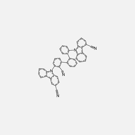 N#Cc1ccc2c(c1)c1ccccc1n2-c1cccc(-c2ccccc2-c2ccccc2-n2c3ccccc3c3c(C#N)cccc32)c1C#N